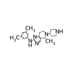 Cc1cc(C)cc(Nc2ncc3c(n2)CCN(C2CCNCC2)C3C)c1